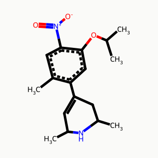 Cc1cc([N+](=O)[O-])c(OC(C)C)cc1C1=CC(C)NC(C)C1